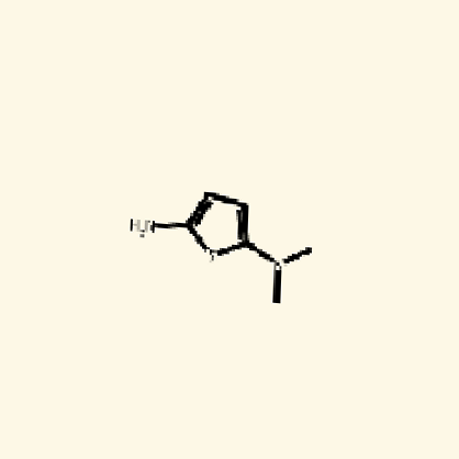 CN(C)c1ccc(N)s1